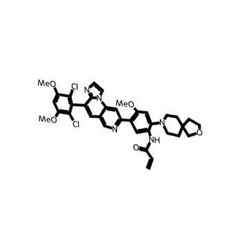 C=CC(=O)Nc1cc(-c2cc3c(cn2)cc(-c2c(Cl)c(OC)cc(OC)c2Cl)c2nccn23)c(OC)cc1N1CCC2(CCOC2)CC1